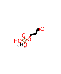 C.O=CCCOS(=O)(=O)O